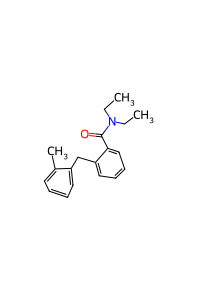 CCN(CC)C(=O)c1ccccc1Cc1ccccc1C